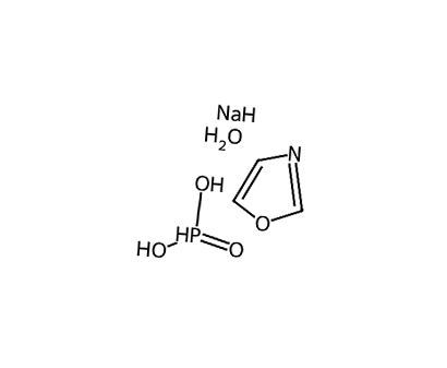 O.O=[PH](O)O.[NaH].c1cocn1